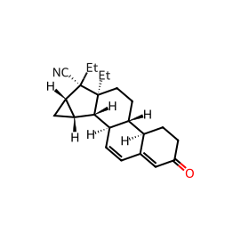 CC[C@]12CC[C@H]3[C@@H](C=CC4=CC(=O)CC[C@@H]43)[C@@H]1[C@@H]1C[C@@H]1[C@@]2(C#N)CC